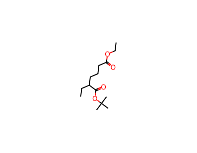 CCOC(=O)CCCC(CC)C(=O)OC(C)(C)C